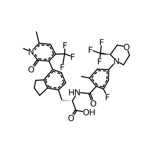 Cc1cc(N2CCOC[C@@H]2C(F)(F)F)cc(F)c1C(=O)N[C@@H](Cc1ccc(-c2c(C(F)(F)F)cc(C)n(C)c2=O)c2c1CCC2)C(=O)O